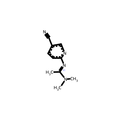 C/C(=N\c1ccc(C#N)cn1)N(C)C